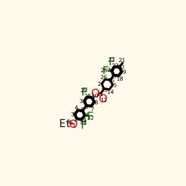 CCOc1ccc(-c2ccc(OC(=O)C3CCC(c4ccc(C)c(F)c4F)CC3)c(F)c2)c(F)c1F